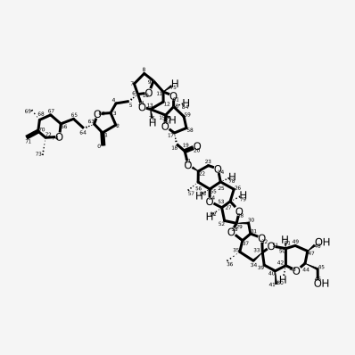 C=C1CC(CC[C@]23CCC(O2)[C@H]2C[C@@H](O3)[C@H]3O[C@@H](CC(=O)O[C@H]4CO[C@H]5C[C@H]6O[C@@]7(CC8O[C@@]9(C[C@H](C)C8O7)C[C@H](C)[C@@H]7O[C@H](CO)[C@H](O)C[C@@H]7O9)C[C@H]6O[C@H]5[C@@H]4C)CC[C@@H]3O2)O[C@H]1CCC1C[C@@H](C)C(=C)[C@@H](C)O1